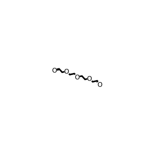 O=CCOCCOCCOCC=O